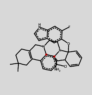 CC1(C)CCC(CN2CCN(C3(Oc4cc5cc[nH]c5cc4F)C=CC=CC3C(N)=O)CC2)=C(c2ccc(Cl)cc2)C1